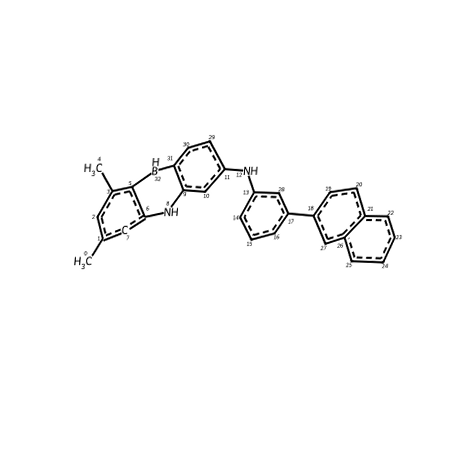 Cc1cc(C)c2c(c1)Nc1cc(Nc3cccc(-c4ccc5ccccc5c4)c3)ccc1B2